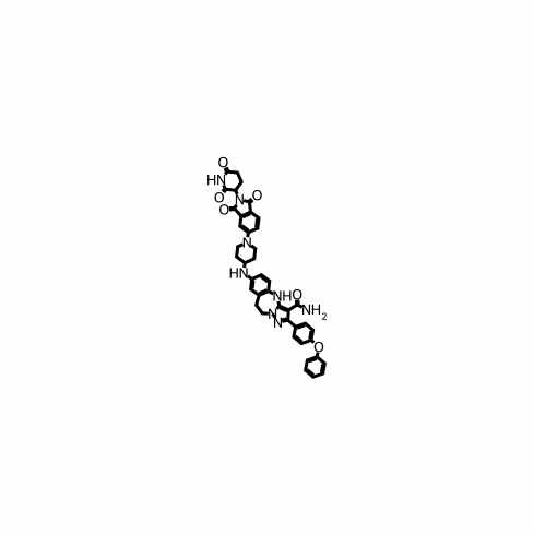 NC(=O)c1c(-c2ccc(Oc3ccccc3)cc2)nn2c1Nc1ccc(NC3CCN(c4ccc5c(c4)C(=O)N(C4CCC(=O)NC4=O)C5=O)CC3)cc1CC2